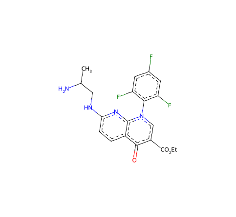 CCOC(=O)c1cn(-c2c(F)cc(F)cc2F)c2nc(NCC(C)N)ccc2c1=O